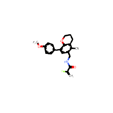 C=C(F)C(=O)NCc1cc(-c2ccc(OC(F)(F)F)cc2)c2c(c1C#N)CCCO2